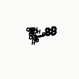 O=c1[nH]c(=O)n([C@@H]2O[C@H](CO)[C@@H](O)[C@@H]2O)cc1C#CCOc1ccc2c3cccc4cccc(c5cccc1c52)c43